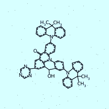 CC1(C)c2ccccc2N(c2ccc3c(c2)C(O)c2cc(-c4ncncn4)cc4c(=O)c5cc(N6c7ccccc7C(C)(C)c7ccccc76)ccc5n-3c24)c2ccccc21